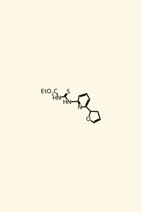 CCOC(=O)NC(=S)Nc1cccc(C2CC=CO2)n1